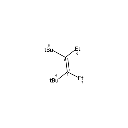 CC/C(=C(\CC)C(C)(C)C)C(C)(C)C